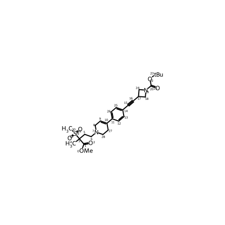 COC(=O)C(C)(CCN1CC=C(c2ccc(C#CC3CN(C(=O)OC(C)(C)C)C3)cc2)CC1)S(C)(=O)=O